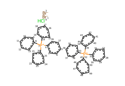 Cl.[Br-].[Br-].c1ccc([P+](c2ccccc2)(c2ccccc2)c2ccccc2)cc1.c1ccc([P+](c2ccccc2)(c2ccccc2)c2ccccc2)cc1